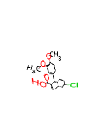 COc1ccc(-c2c(C(=O)O)ccc3cc(Cl)ccc23)cc1OC